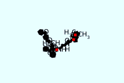 Cc1cc(C)n2c1C=C1C=CC(CCC(=O)NCCCCCNC(=O)CN3C(=O)[C@@H](NC(=O)[C@H](C)NC(=O)Cc4ccc(C(=O)c5ccccc5)cc4)[C@@H](c4ccccc4)Oc4ccccc43)=[N+]1[B-]2(F)F